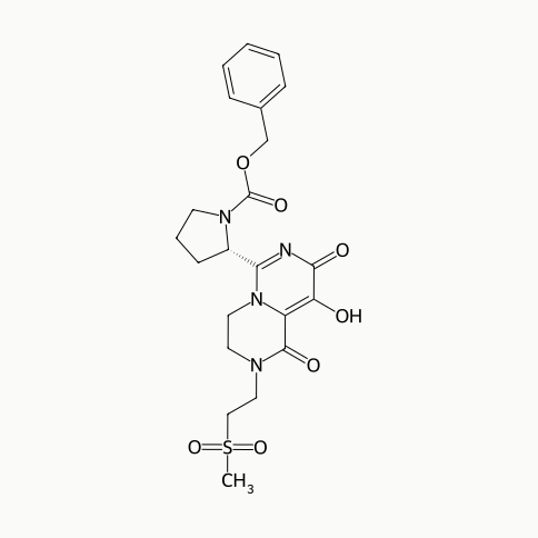 CS(=O)(=O)CCN1CCn2c([C@@H]3CCCN3C(=O)OCc3ccccc3)nc(=O)c(O)c2C1=O